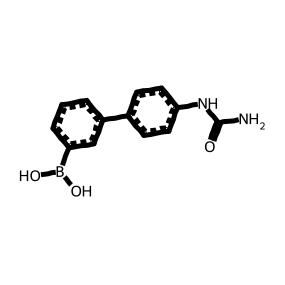 NC(=O)Nc1ccc(-c2cccc(B(O)O)c2)cc1